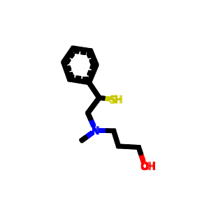 CN(CCCO)CC(S)c1ccccc1